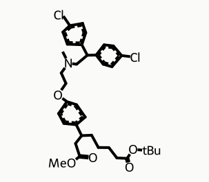 COC(=O)CC(CCCCC(=O)OC(C)(C)C)c1ccc(OCCN(C)CC(c2ccc(Cl)cc2)c2ccc(Cl)cc2)cc1